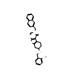 COc1ccccc1CNC1CCc2c(sc3ncn(Cc4ccc5ccccc5c4)c(=O)c23)C1